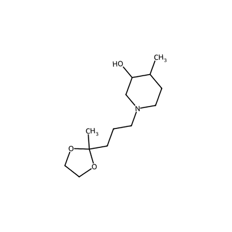 CC1CCN(CCCC2(C)OCCO2)CC1O